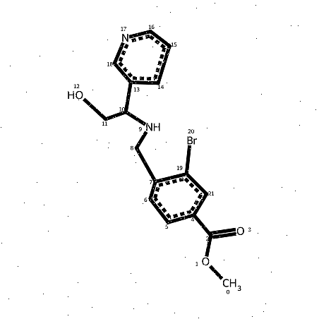 COC(=O)c1ccc(CNC(CO)c2cccnc2)c(Br)c1